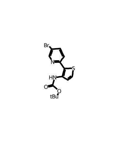 CC(C)(C)OC(=O)Nc1ccsc1-c1ccc(Br)cn1